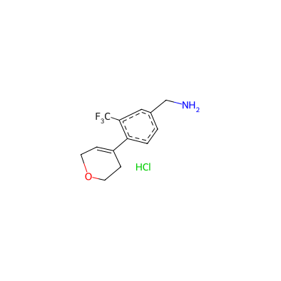 Cl.NCc1ccc(C2=CCOCC2)c(C(F)(F)F)c1